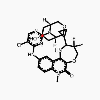 Cn1c(=O)c2c(c3cc(Nc4nc(N5[C@@H]6COC[C@H]5C[C@@H](O)C6)ncc4Cl)ccc31)NC(C1CC1)C(F)(F)CO2